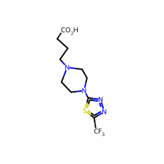 O=C(O)CCCN1CCN(c2nnc(C(F)(F)F)s2)CC1